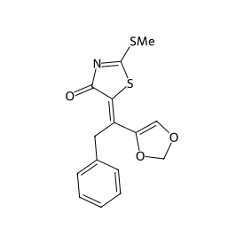 CSC1=NC(=O)C(=C(Cc2ccccc2)C2=COCO2)S1